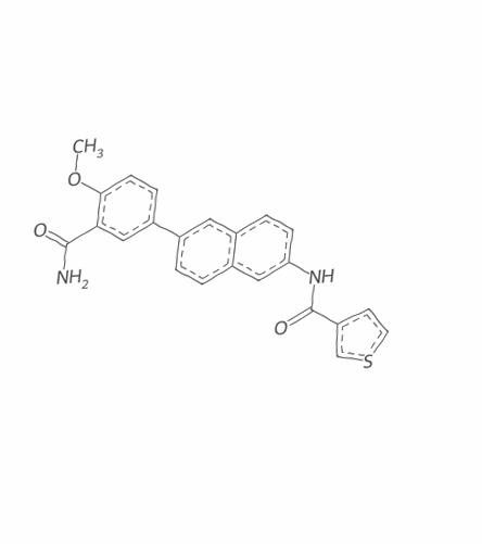 COc1ccc(-c2ccc3cc(NC(=O)c4ccsc4)ccc3c2)cc1C(N)=O